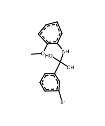 COc1ccccc1NC(O)(O)c1cccc(Br)c1